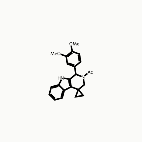 COc1ccc(C2c3[nH]c4ccccc4c3C3(CC3)CN2C(C)=O)cc1OC